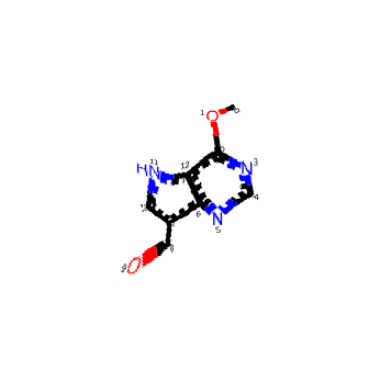 COc1ncnc2c(C=O)c[nH]c12